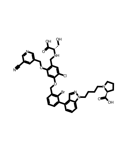 N#Cc1cncc(COc2cc(OCc3cccc(-c4cccc5c4cnn5CCCCN4CCC[C@H]4C(=O)O)c3Br)c(Cl)cc2CN[C@@H](CO)C(=O)O)c1